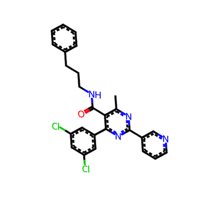 Cc1nc(-c2cccnc2)nc(-c2cc(Cl)cc(Cl)c2)c1C(=O)NCCCc1ccccc1